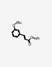 CCCOC(=O)C=Cc1cccc(OC(C)(C)C)c1